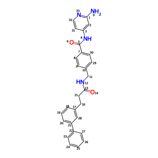 Nc1cc(NC(=O)c2ccc(CNC(=O)CCc3cccc(-c4ccccc4)c3)cc2)ccn1